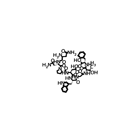 C[C@@H](O)[C@H](NC(=O)CNC(=O)[C@H](Cc1c[nH]c2ccccc12)NC(=O)[C@H](CC(=O)O)NC(=O)[C@@H]1CCCN1C(=O)[C@H](CC(N)=O)NC(=O)[C@@H](N)CC(N)=O)C(=O)N[C@@H](Cc1ccccc1)C(=O)O